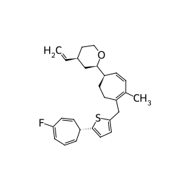 C=C[C@H]1CCO[C@@H]([C@H]2C=CC(C)=C(Cc3ccc([C@@H]4C=CC=C(F)C=C4)s3)CC2)C1